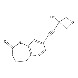 CN1C(=O)CCCc2ccc(C#CC3(O)COC3)cc21